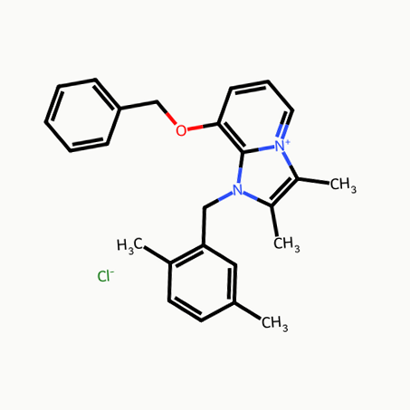 Cc1ccc(C)c(Cn2c(C)c(C)[n+]3cccc(OCc4ccccc4)c23)c1.[Cl-]